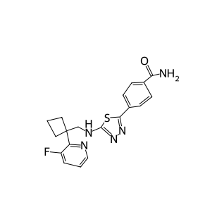 NC(=O)c1ccc(-c2nnc(NCC3(c4ncccc4F)CCC3)s2)cc1